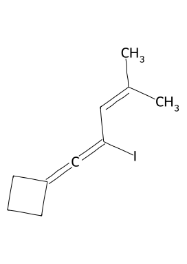 CC(C)=CC(I)=C=C1CCC1